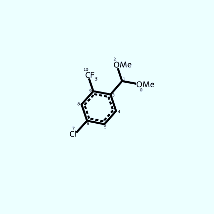 COC(OC)c1ccc(Cl)cc1C(F)(F)F